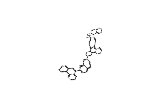 c1ccc2c(c1)cc(-c1ccc3ccc(-c4ccc5c(c4)c4ccccc4c4cc6c(cc54)sc4ccc5ccccc5c46)cc3c1)c1ccccc12